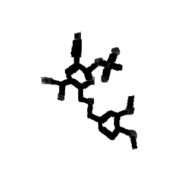 COc1ccc(COCc2nc(OS(C)(=O)=O)c(C#N)cc2C(=O)O)cc1OC